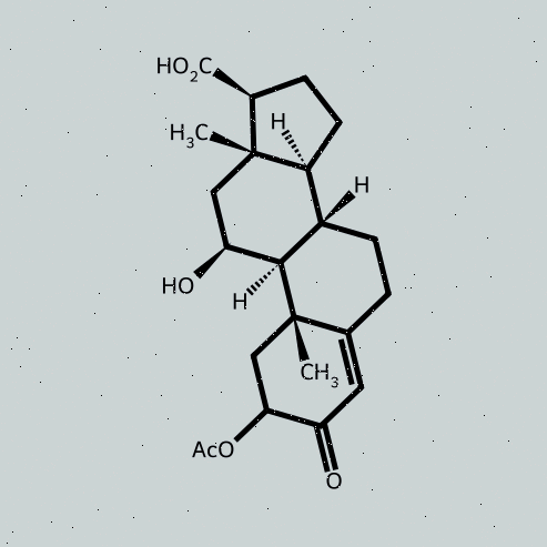 CC(=O)OC1C[C@@]2(C)C(=CC1=O)CC[C@@H]1[C@@H]2[C@@H](O)C[C@]2(C)[C@@H](C(=O)O)CC[C@@H]12